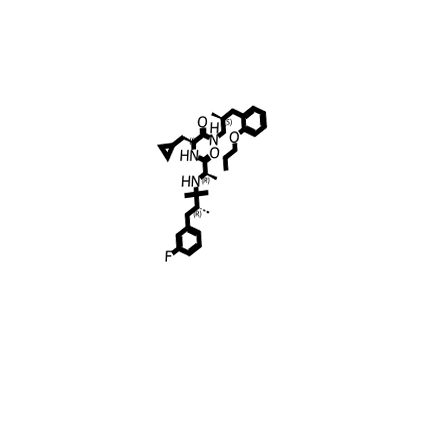 CCCOc1ccccc1C[C@H](C)CNC(=O)[C@H](CC1CC1)NC(=O)[C@@H](C)NC(C)(C)[C@H](C)Cc1cccc(F)c1